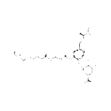 C=CS(=O)(=O)CCCCCC(=O)NCCC(=O)Nc1cc(COC(=O)C(C)C)ccc1O[C@@H]1O[C@H](C(=O)O)[C@@H](O)[C@H](O)[C@H]1O